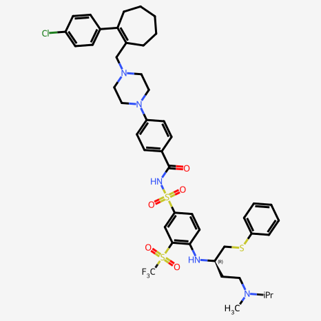 CC(C)N(C)CC[C@H](CSc1ccccc1)Nc1ccc(S(=O)(=O)NC(=O)c2ccc(N3CCN(CC4=C(c5ccc(Cl)cc5)CCCCC4)CC3)cc2)cc1S(=O)(=O)C(F)(F)F